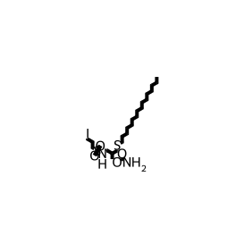 CCCCCCCCCCCCCCCCSC(OC(N)=O)C(C)CNS(=O)(=O)CCCI